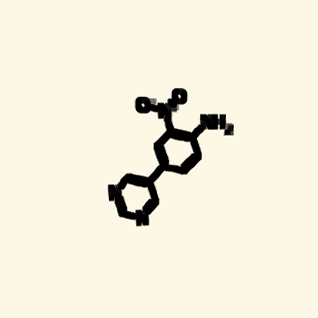 Nc1ccc(-c2cncnc2)cc1[N+](=O)[O-]